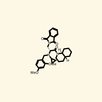 COc1ccc(CN(C2CC2)[C@H](CN2C(=O)c3ccccc3C2=O)C(=O)N2CCC[C@H]3CCCC[C@@H]32)c(OC)c1